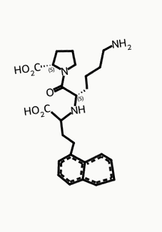 NCCCC[C@H](NC(CCc1cccc2ccccc12)C(=O)O)C(=O)N1CCC[C@H]1C(=O)O